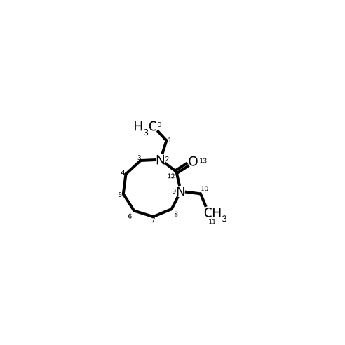 CCN1CCCCCCN(CC)C1=O